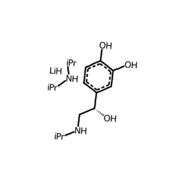 CC(C)NC(C)C.CC(C)NC[C@@H](O)c1ccc(O)c(O)c1.[LiH]